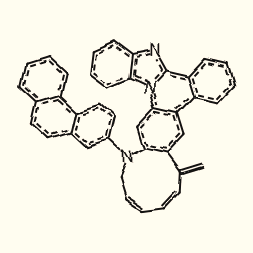 C=C1/C=C\C=C/CN(c2ccc3c(ccc4ccccc43)c2)c2cc3c(cc21)c1ccccc1c1nc2ccccc2n31